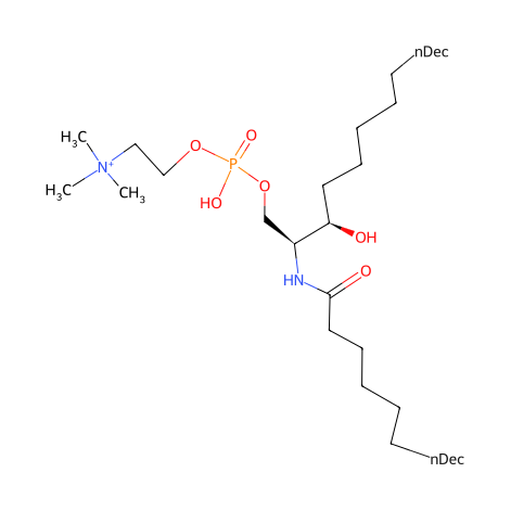 CCCCCCCCCCCCCCCC(=O)N[C@@H](COP(=O)(O)OCC[N+](C)(C)C)[C@H](O)CCCCCCCCCCCCCCC